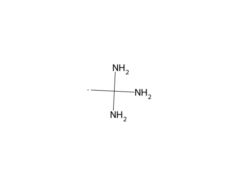 [CH2]C(N)(N)N